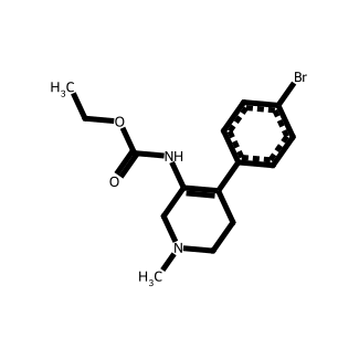 CCOC(=O)NC1=C(c2ccc(Br)cc2)CCN(C)C1